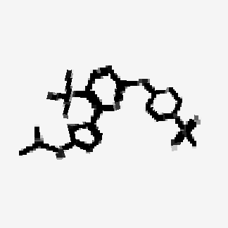 CC(C)Nc1ncc(-c2nc(NC3CCN(S(C)(=O)=O)CC3)ncc2C(F)(F)F)s1